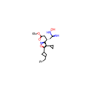 CC(C)CC1CC(c2onc([C@@H](CC(=N)NO)CC(=O)OC(C)(C)C)c2C2CC2)C1